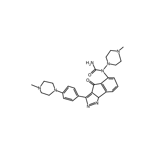 CN1CCN(c2ccc(C3=C4C(=O)c5c(cccc5N(C(N)=O)N5CCN(C)CC5)C4N=N3)cc2)CC1